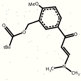 COc1ccc(C(=O)/C=C/N(C)C)cc1COC(=O)C(C)(C)C